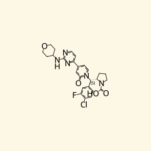 O=C(O)N1CCCC1[C@H](c1ccc(Cl)c(F)c1)n1ccc(-c2ccnc(NC3CCOCC3)n2)cc1=O